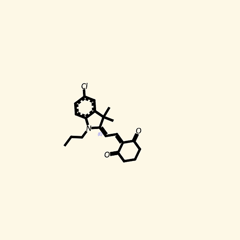 CCCN1/C(=C/C=C2C(=O)CCCC2=O)C(C)(C)c2cc(Cl)ccc21